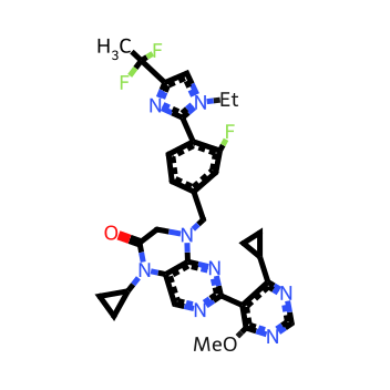 CCn1cc(C(C)(F)F)nc1-c1ccc(CN2CC(=O)N(C3CC3)c3cnc(-c4c(OC)ncnc4C4CC4)nc32)cc1F